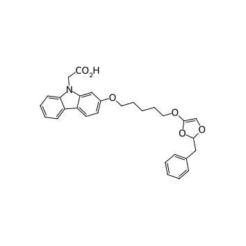 O=C(O)Cn1c2ccccc2c2ccc(OCCCCCOC3=COC(Cc4ccccc4)O3)cc21